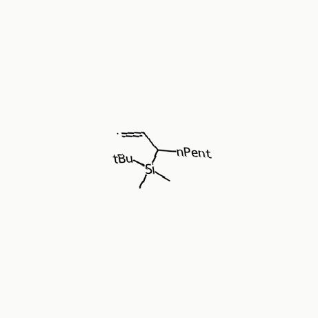 [CH]=CC(CCCCC)[Si](C)(C)C(C)(C)C